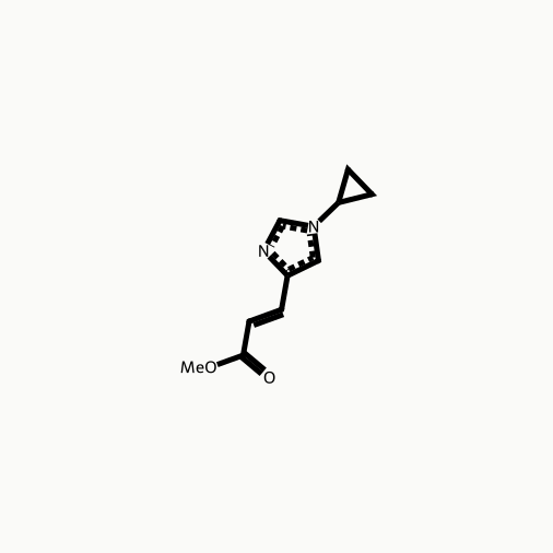 COC(=O)/C=C/c1cn(C2CC2)cn1